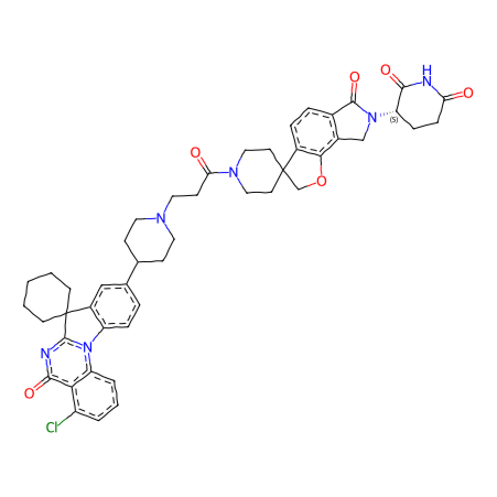 O=C1CC[C@H](N2Cc3c(ccc4c3OCC43CCN(C(=O)CCN4CCC(c5ccc6c(c5)C5(CCCCC5)c5nc(=O)c7c(Cl)cccc7n5-6)CC4)CC3)C2=O)C(=O)N1